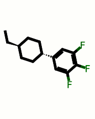 CC[C@H]1CC[C@H](c2cc(F)c(F)c(F)c2)CC1